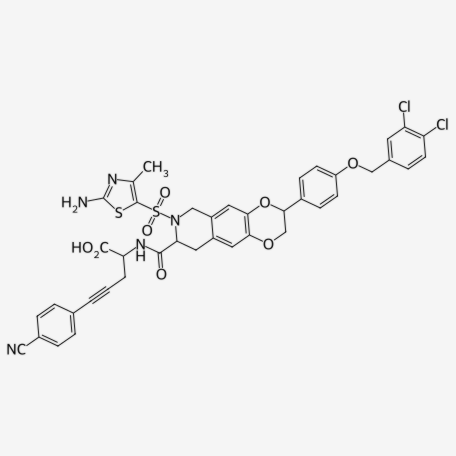 Cc1nc(N)sc1S(=O)(=O)N1Cc2cc3c(cc2CC1C(=O)NC(CC#Cc1ccc(C#N)cc1)C(=O)O)OCC(c1ccc(OCc2ccc(Cl)c(Cl)c2)cc1)O3